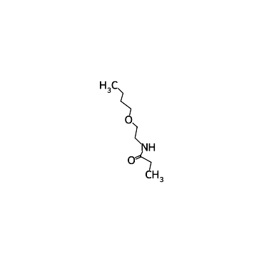 CCCCOCCNC(=O)CC